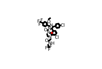 CCOc1cc(C(F)(F)F)ccc1C1=NC(c2ccc(Cl)cc2)C(c2ccc(Cl)cc2)N1C(=O)N1CCN(CC(=O)NCC(F)(F)F)CC1